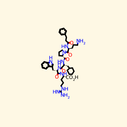 N=C(N)NCCC[C@H](NC(=O)[C@H](Cc1c[nH]c2ccccc12)NC(=O)[C@@H](CC1CCCCC1)NC(=O)[C@@H]1CCCN1C(=O)[C@H](CCCN)NC(=O)CCc1ccccc1)C(=O)O